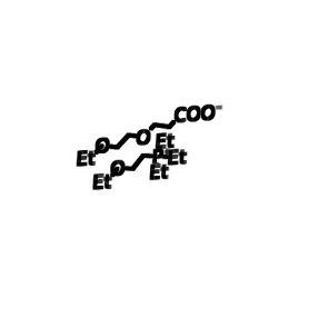 CCOCCOCCC(=O)[O-].CCOCC[P+](CC)(CC)CC